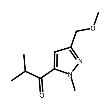 COCc1cc(C(=O)C(C)C)n(C)n1